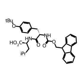 CC(C)C[C@H](NC(=O)[C@H](Cc1ccc(OC(C)(C)C)cc1)NC(=O)OCC1c2ccccc2-c2ccccc21)C(=O)O